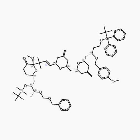 C=C1C[C@H](C[C@@H]2CC(=C)C[C@H](/C=C/C(C)(C)[C@]3(OC)O[C@H](C[C@@H](O[Si](C)(C)C(C)(C)C)[C@@H](C)OCOCc4ccccc4)CCC3=O)O2)O[C@H](C[C@H](CCO[Si](c2ccccc2)(c2ccccc2)C(C)(C)C)OCc2ccc(OC)cc2)C1